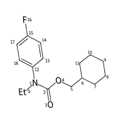 CCN(C(=O)OCC1CCCCC1)c1ccc(F)cc1